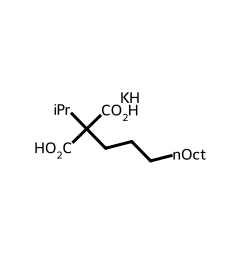 CCCCCCCCCCCC(C(=O)O)(C(=O)O)C(C)C.[KH]